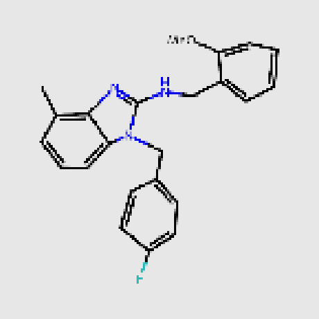 COc1ccccc1CNc1nc2c(C)cccc2n1Cc1ccc(F)cc1